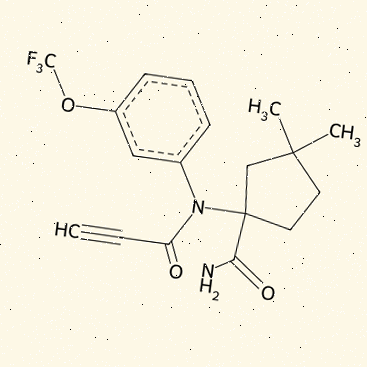 C#CC(=O)N(c1cccc(OC(F)(F)F)c1)C1(C(N)=O)CCC(C)(C)C1